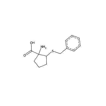 NC1(C(=O)O)CCCC1SCc1ccccc1